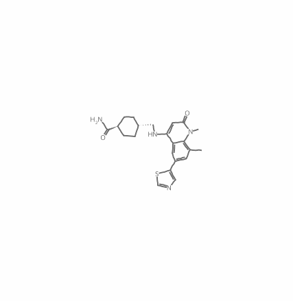 Cc1cc(-c2cncs2)cc2c(NC[C@H]3CC[C@H](C(N)=O)CC3)cc(=O)n(C)c12